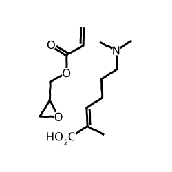 C=CC(=O)OCC1CO1.CC(=CCCCN(C)C)C(=O)O